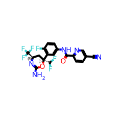 N#Cc1ccc(C(=O)Nc2ccc(F)c([C@]3(C(F)F)C[C@H](C(F)(F)F)N=C(N)O3)c2)nc1